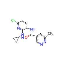 O=C(Nc1ccc(Cl)nc1NC1CC1)c1cnnc(C(F)(F)F)c1